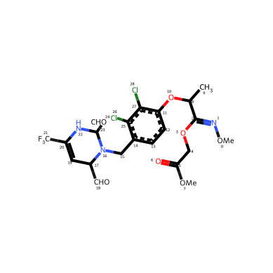 CON=C(OCC(=O)OC)C(C)Oc1ccc(CN2C(C=O)C=C(C(F)(F)F)NC2C=O)c(Cl)c1Cl